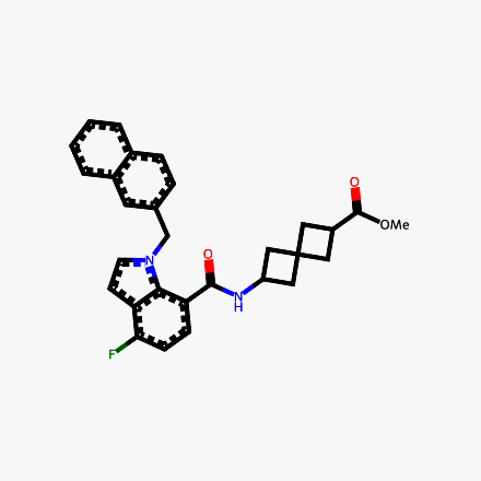 COC(=O)C1CC2(CC(NC(=O)c3ccc(F)c4ccn(Cc5ccc6ccccc6c5)c34)C2)C1